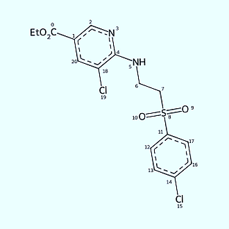 CCOC(=O)c1cnc(NCCS(=O)(=O)c2ccc(Cl)cc2)c(Cl)c1